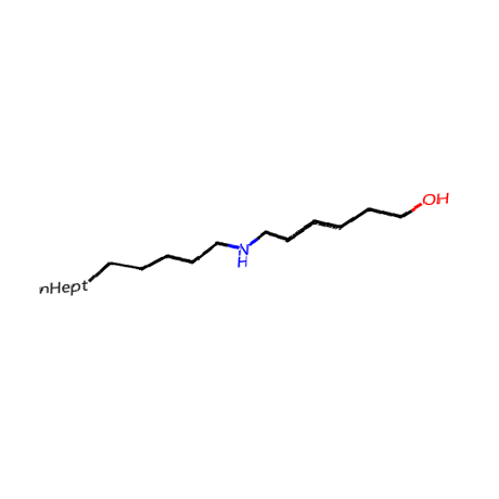 CCCCCCCCCCCCNCCCCCCO